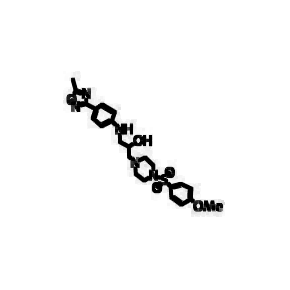 COc1ccc(S(=O)(=O)N2CCN(CC(O)CNc3ccc(-c4noc(C)n4)cc3)CC2)cc1